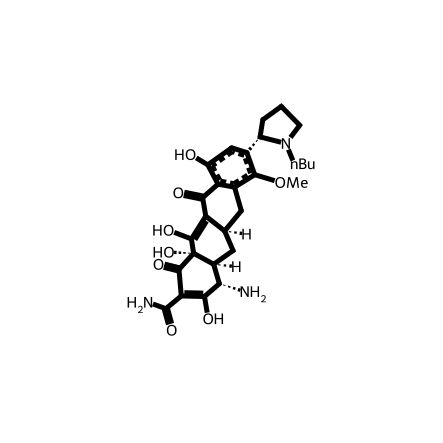 CCCCN1CCC[C@H]1c1cc(O)c2c(c1OC)C[C@H]1C[C@H]3[C@H](N)C(O)=C(C(N)=O)C(=O)[C@@]3(O)C(O)=C1C2=O